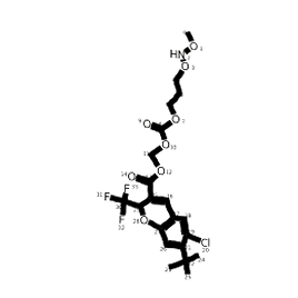 CONOCCCOC(=O)OCOC(=O)C1=Cc2cc(Cl)c(C(C)(C)C)cc2OC1C(F)(F)F